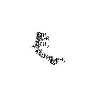 Cc1cccc(Oc2cccc(CCc3ccc(Cc4ccc(CCc5c(C)cc(Cc6cc(C)c(C)c(C(C)C)c6)cc5C(C)C)cc4)cc3)c2)c1